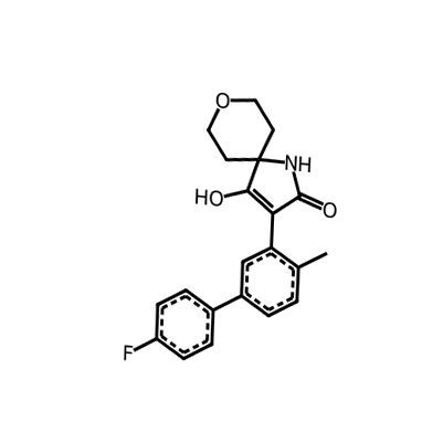 Cc1ccc(-c2ccc(F)cc2)cc1C1=C(O)C2(CCOCC2)NC1=O